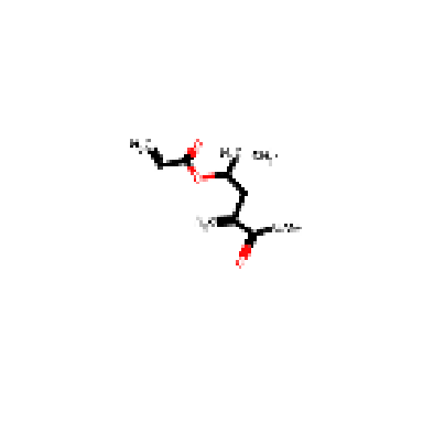 C=CC(=O)OC(C)CC(=C)C(=O)OC.[CH3]